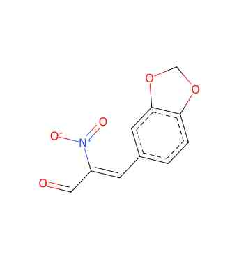 O=CC(=Cc1ccc2c(c1)OCO2)[N+](=O)[O-]